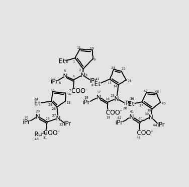 CCC1=C(N(C(=NC(C)C)C(=O)[O-])C(C)C)CC=C1.CCC1=C(N(C(=NC(C)C)C(=O)[O-])C(C)C)CC=C1.CCC1=C(N(C(=NC(C)C)C(=O)[O-])C(C)C)CC=C1.CCC1=C(N(C(=NC(C)C)C(=O)[O-])C(C)C)CC=C1.[Ru+4]